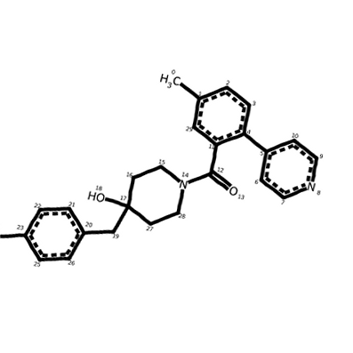 Cc1ccc(-c2ccncc2)c(C(=O)N2CCC(O)(Cc3ccc(C#N)cc3)CC2)c1